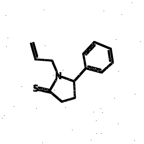 C=CCN1C(=S)CCC1c1ccccc1